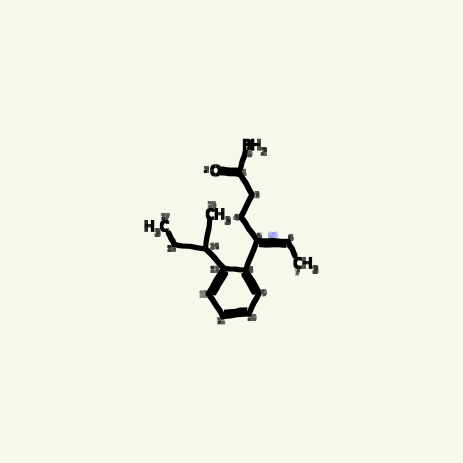 BC(=O)CC/C(=C/C)c1ccccc1C(C)CC